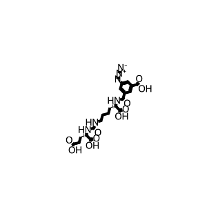 [N-]=[N+]=Nc1cc(C(=O)O)cc(C(=O)N[C@@H](CCCCNC(=O)N[C@@H](CCC(=O)O)C(=O)O)C(=O)O)c1